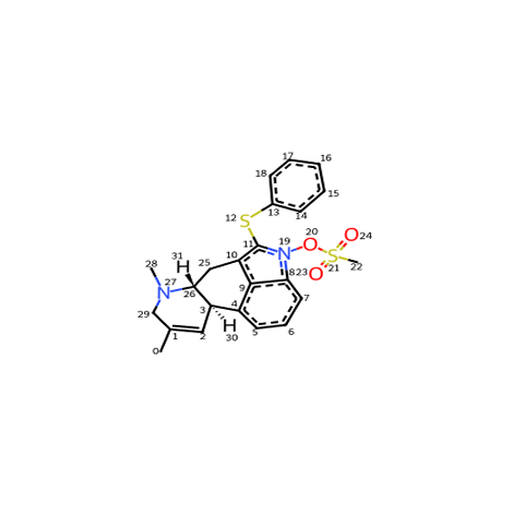 CC1=C[C@@H]2c3cccc4c3c(c(Sc3ccccc3)n4OS(C)(=O)=O)C[C@H]2N(C)C1